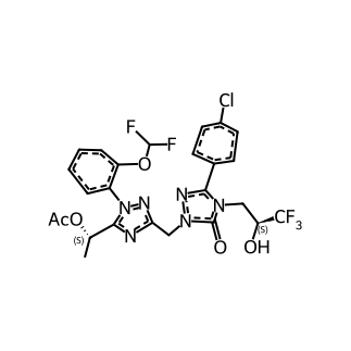 CC(=O)O[C@@H](C)c1nc(Cn2nc(-c3ccc(Cl)cc3)n(C[C@H](O)C(F)(F)F)c2=O)nn1-c1ccccc1OC(F)F